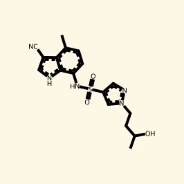 Cc1ccc(NS(=O)(=O)c2cnn(CCC(C)O)c2)c2[nH]cc(C#N)c12